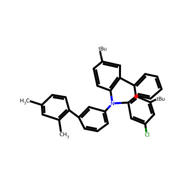 Cc1ccc(-c2cccc(N(c3cc(Cl)cc(C(C)(C)C)c3)c3ccc(C(C)(C)C)cc3-c3ccccc3)c2)c(C)c1